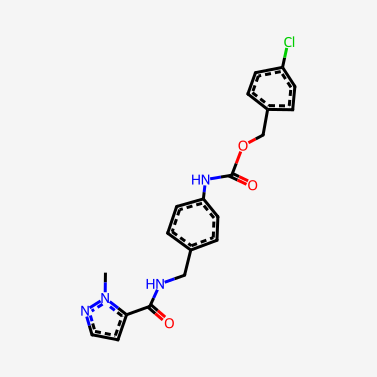 Cn1nccc1C(=O)NCc1ccc(NC(=O)OCc2ccc(Cl)cc2)cc1